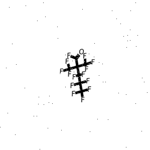 O=C(F)C(C(F)(F)F)(C(F)(F)F)C(F)(F)C(F)(F)C(F)(F)F